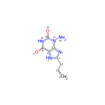 C=CCc1nc2c([nH]1)c(=O)[nH]c(=O)n2N